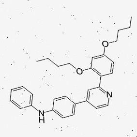 CCCCOc1ccc(-c2cc(-c3ccc(Nc4ccccc4)cc3)ccn2)c(OCCCC)c1